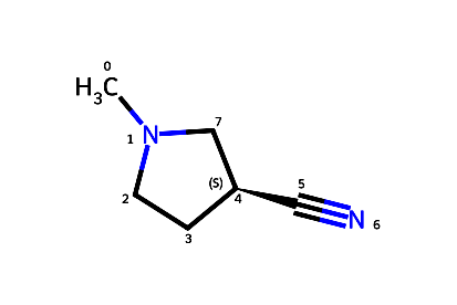 CN1CC[C@H](C#N)C1